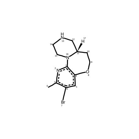 Cc1nc2c(cc1Br)OCC[C@H]1CNCCN21